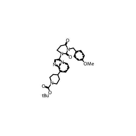 COc1ccc(CN2C(=O)CCN(c3cnc4c(C5CCN(C(=O)OC(C)(C)C)CC5)cccn34)C2=O)cc1